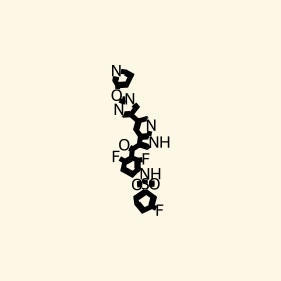 O=C(c1c(F)ccc(NS(=O)(=O)c2cccc(F)c2)c1F)c1c[nH]c2ncc(-c3cnc(Oc4cccnc4)nc3)cc12